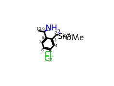 C[O][Sn+2][CH2]c1ccccc1C(C)N.[Cl-].[Cl-]